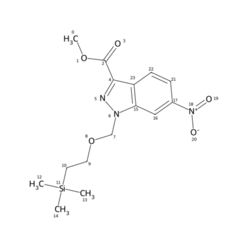 COC(=O)c1nn(COCC[Si](C)(C)C)c2cc([N+](=O)[O-])ccc12